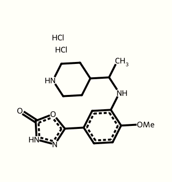 COc1ccc(-c2n[nH]c(=O)o2)cc1NC(C)C1CCNCC1.Cl.Cl